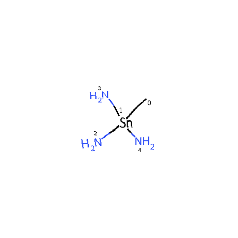 [CH3][Sn]([NH2])([NH2])[NH2]